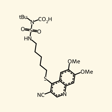 COc1cc2ncc(C#N)c(SCCCCCNS(=O)(=O)N(C(=O)O)C(C)(C)C)c2cc1OC